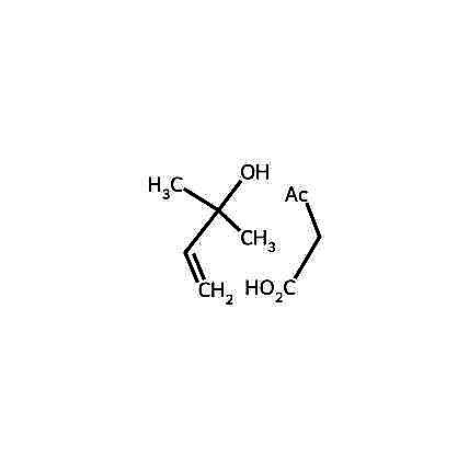 C=CC(C)(C)O.CC(=O)CC(=O)O